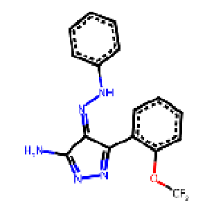 NC1=NN=C(c2ccccc2OC(F)(F)F)/C1=N\Nc1ccccc1